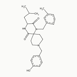 Cc1cccc(CN2C(=O)C(CC(C)C)NC(=O)C23CCN(Cc2ccc(O)cc2)CC3)c1